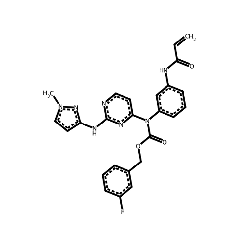 C=CC(=O)Nc1cccc(N(C(=O)OCc2cccc(F)c2)c2ccnc(Nc3ccn(C)n3)n2)c1